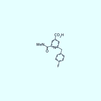 CNC(=O)c1cc(C(=O)O)cc(Cc2ccc(F)cc2)n1